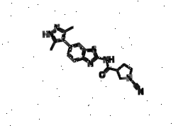 Cc1n[nH]c(C)c1-c1ccc2nc(NC(=O)C3CCN(C#N)C3)sc2c1